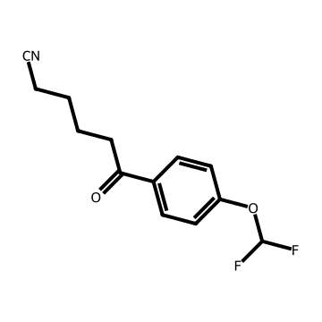 N#CCCCCC(=O)c1ccc(OC(F)F)cc1